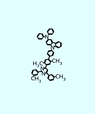 Cc1cccc(-c2cc(-c3cc(C)c(-c4ccc(-n5c6ccccc6c6cc(N(c7ccccc7)c7ccccc7)ccc65)cc4)cc3C)nc(-c3cccc(C)c3)n2)c1